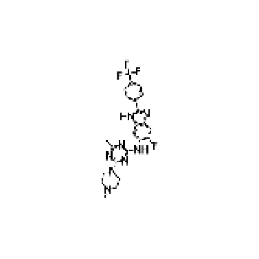 Cc1nc(Nc2cc3[nH]c(-c4ccc(C(F)(F)F)cc4)nc3cc2F)nc(N2CCN(C)CC2)n1